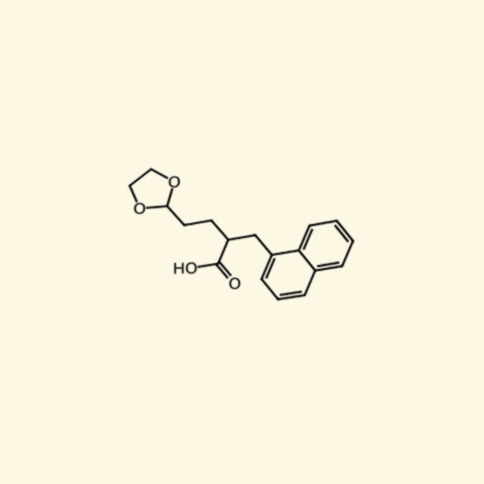 O=C(O)C(CCC1OCCO1)Cc1cccc2ccccc12